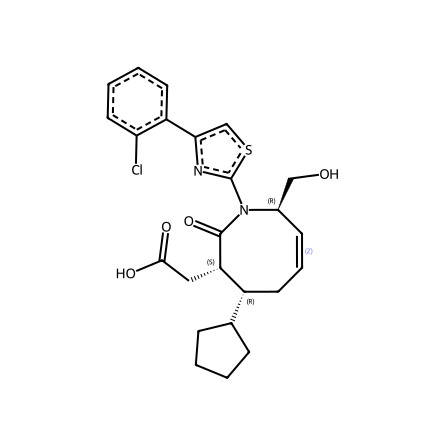 O=C(O)C[C@@H]1C(=O)N(c2nc(-c3ccccc3Cl)cs2)[C@@H](CO)/C=C\C[C@@H]1C1CCCC1